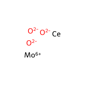 [Ce].[Mo+6].[O-2].[O-2].[O-2]